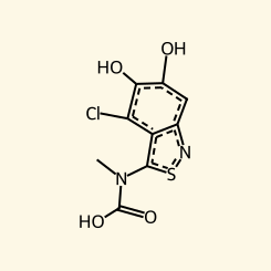 CN(C(=O)O)c1snc2cc(O)c(O)c(Cl)c12